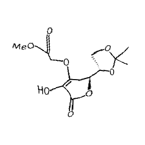 COC(=O)COC1=C(O)C(=O)O[C@@H]1[C@@H]1COC(C)(C)O1